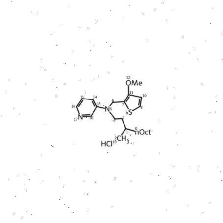 CCCCCCCCC(C)CCN(Cc1sccc1OC)c1cccnc1.Cl